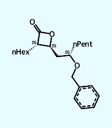 CCCCCC[C@@H]1C(=O)O[C@H]1C[C@H](CCCCC)OCc1ccccc1